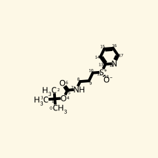 CC(C)(C)OC(=O)NCCC[S+]([O-])c1ccccn1